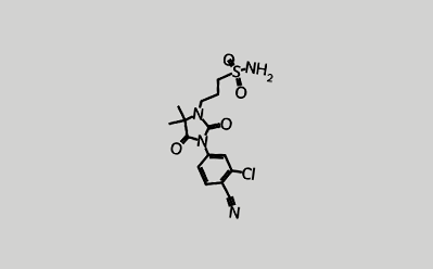 CC1(C)C(=O)N(c2ccc(C#N)c(Cl)c2)C(=O)N1CCCS(N)(=O)=O